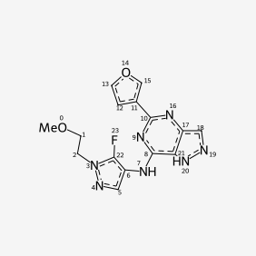 COCCn1ncc(Nc2nc(-c3ccoc3)nc3cn[nH]c23)c1F